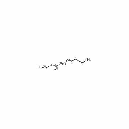 CCCCOOOC(=O)OCC